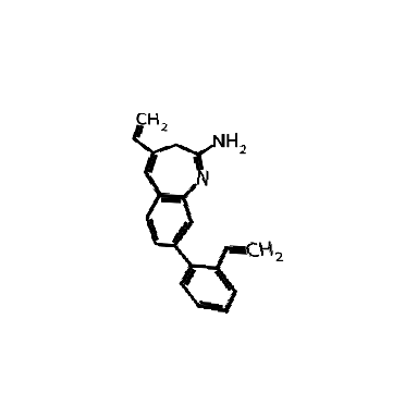 C=CC1=Cc2ccc(-c3ccccc3C=C)cc2N=C(N)C1